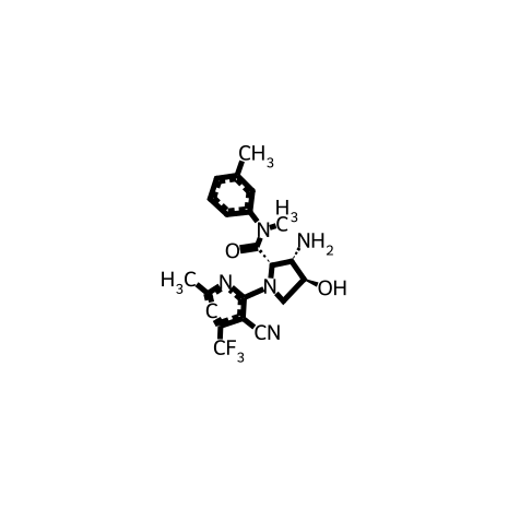 Cc1cccc(N(C)C(=O)[C@@H]2[C@H](N)[C@@H](O)CN2c2nc(C)cc(C(F)(F)F)c2C#N)c1